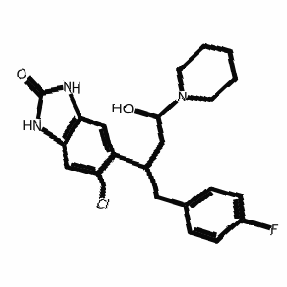 O=c1[nH]c2cc(Cl)c(C(Cc3ccc(F)cc3)CC(O)N3CCCCC3)cc2[nH]1